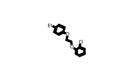 CCc1ccc(OCCOc2ccccc2Cl)cc1